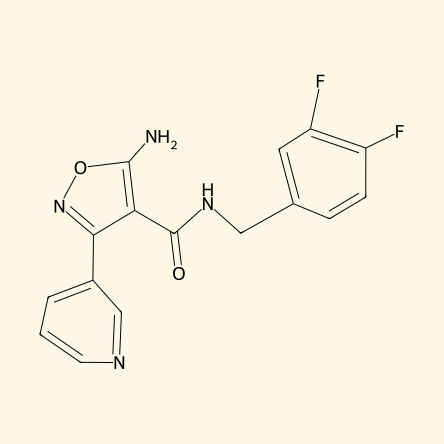 Nc1onc(-c2cccnc2)c1C(=O)NCc1ccc(F)c(F)c1